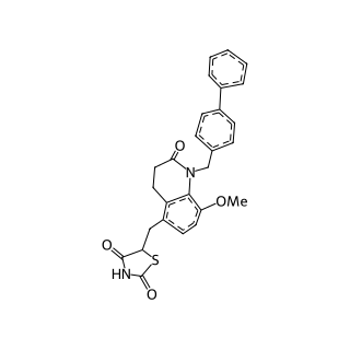 COc1ccc(CC2SC(=O)NC2=O)c2c1N(Cc1ccc(-c3ccccc3)cc1)C(=O)CC2